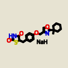 CC1(c2nc(COc3ccc(CC4SC(=O)NC4=O)cc3)co2)CCCCC1.[NaH]